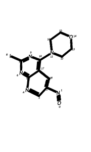 O=Nc1cnc2nc(I)nc(N3CCOCC3)c2c1